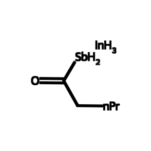 CCCC[C](=O)[SbH2].[InH3]